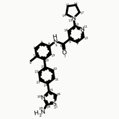 Cc1ccc(NC(=O)c2ccnc(N3CCCC3)c2)cc1-c1ccc(-c2csc(N)n2)cc1